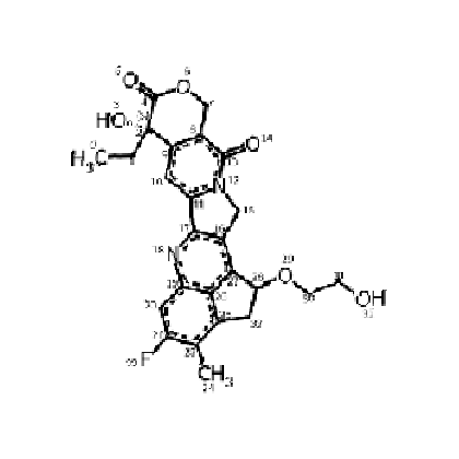 CC[C@@]1(O)C(=O)OCc2c1cc1n(c2=O)Cc2c-1nc1cc(F)c(C)c3c1c2C(OCCO)C3